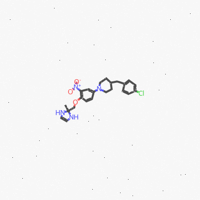 CC1(COc2ccc(N3CCC(Cc4ccc(Cl)cc4)CC3)cc2[N+](=O)[O-])NC=CN1